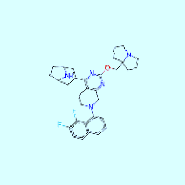 Fc1ccc2cccc(N3CCc4c(nc(OCC56CCCN5CCC6)nc4C4CC5CCC(C4)N5)C3)c2c1F